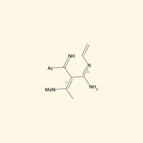 C=C/N=C(N)\C(C(=N)C(C)=O)=C(/C)NC